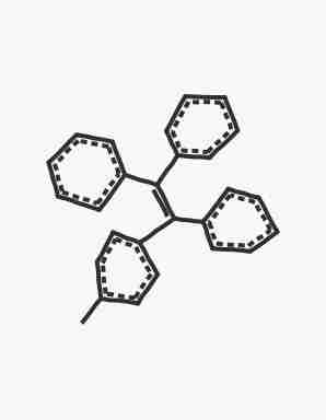 Cc1ccc(C(=C(c2ccccc2)c2ccccc2)c2ccccc2)cc1